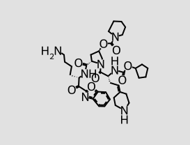 NCCCC[C@H](NC(=O)[C@@H]1C[C@@H](OC(=O)N2CCCCC2)CN1C(=O)[C@@H](CC=C1CCNCC1)NC(=O)OC1CCCC1)C(=O)c1nc2ccccc2o1